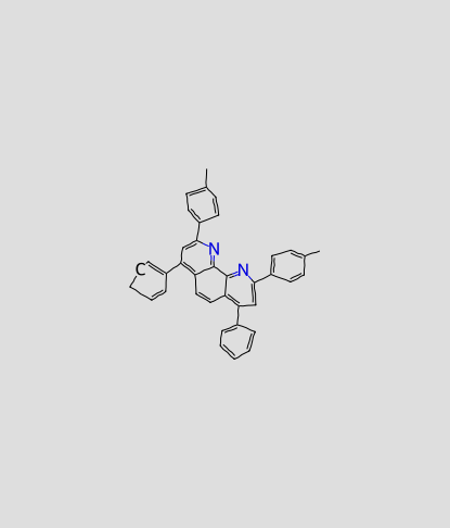 Cc1ccc(-c2cc(C3=CCCC=C3)c3ccc4c(-c5ccccc5)cc(-c5ccc(C)cc5)nc4c3n2)cc1